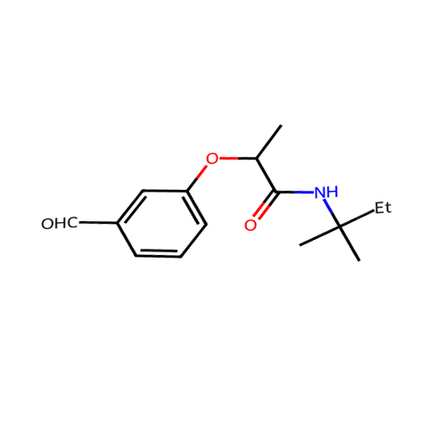 CCC(C)(C)NC(=O)C(C)Oc1cccc(C=O)c1